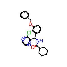 O=C(NC(c1cccc(OCc2ccccc2)c1)c1nccnc1Cl)C1CCCCC1